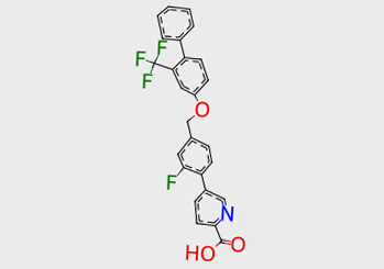 O=C(O)c1ccc(-c2ccc(COc3ccc(-c4ccccc4)c(C(F)(F)F)c3)cc2F)cn1